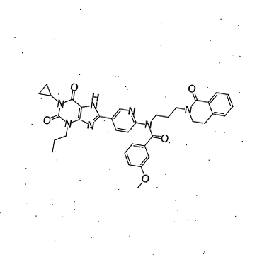 CCCn1c(=O)n(C2CC2)c(=O)c2[nH]c(-c3ccc(N(CCCN4CCc5ccccc5C4=O)C(=O)c4cccc(OC)c4)nc3)nc21